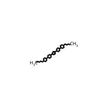 CCCCCC1CCC(C2CCC(c3ccc(C4CCC(C5CCC(CCCCC)CC5)CC4)cc3)CC2)CC1